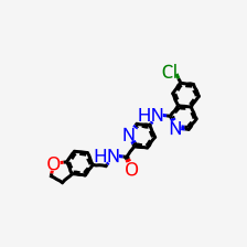 O=C(NCc1ccc2c(c1)CCO2)c1ccc(Nc2nccc3ccc(Cl)cc23)cn1